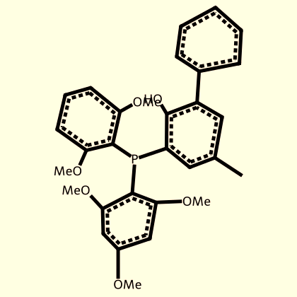 COc1cc(OC)c(P(c2cc(C)cc(-c3ccccc3)c2O)c2c(OC)cccc2OC)c(OC)c1